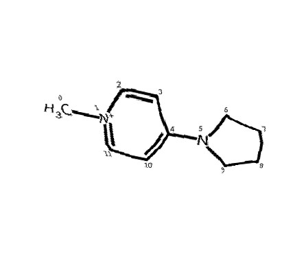 C[n+]1ccc(N2CCCC2)cc1